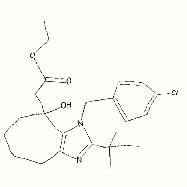 CCOC(=O)CC1(O)CCCCc2nc(C(C)(C)C)n(Cc3ccc(Cl)cc3)c21